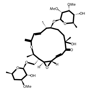 C=C1/C=C/[C@H](C)[C@@H](O[C@@H]2O[C@H](C)[C@@H](O)[C@@H](OC)[C@H]2OC)CC[C@](C)(O)C(=O)/C=C/[C@@H]2O[C@H]2[C@H](CO[C@@H]2O[C@H](C)C[C@H](OC)[C@H]2O)[C@@H](C)O1